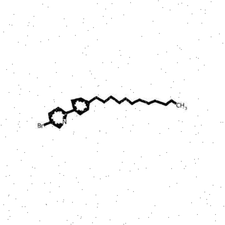 CCCCCCCCCCCCc1ccc(-c2ccc(Br)cn2)cc1